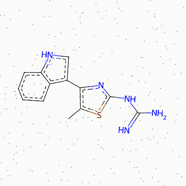 Cc1sc(NC(=N)N)nc1-c1c[nH]c2ccccc12